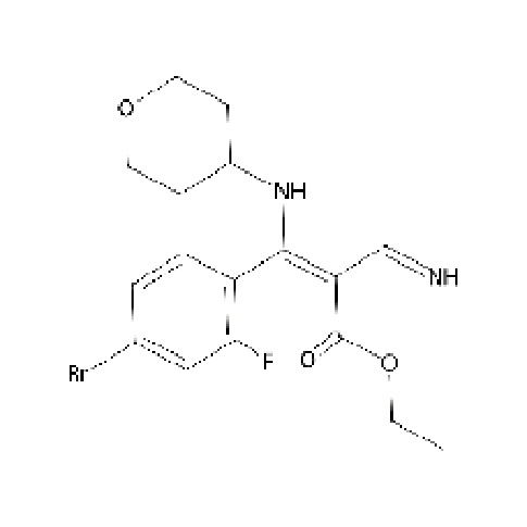 CCOC(=O)/C(C=N)=C(/NC1CCOCC1)c1ccc(Br)cc1F